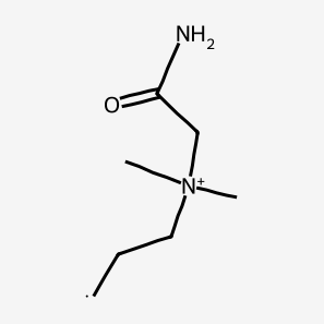 [CH2]CC[N+](C)(C)CC(N)=O